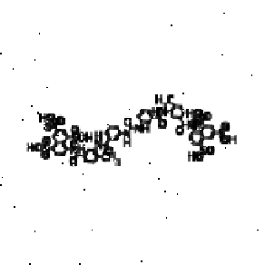 Cc1ccc(C(=O)Nc2ccc(S(=O)O)c3cc(S(=O)O)cc(S(=O)(=O)O)c23)cc1NC(=O)c1cccc(NC(=O)Nc2cccc(C(=O)Nc3cc(C(=O)Nc4ccc(S(=O)(=O)O)c5cc(S(=O)(=O)O)cc(S(=O)(=O)O)c45)ccc3C)c2)c1